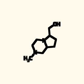 CN1CCN2C(CO)CCC2C1